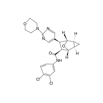 O=C(Nc1ccc(Cl)c(Cl)c1)[C@@H]1[C@@H]2O[C@@H]([C@H]3C[C@H]32)[C@@H]1c1cnc(N2CCOCC2)nc1